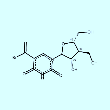 C=C(Br)c1cn(C2O[C@H](CO)[C@@H](CO)[C@@H]2O)c(=O)[nH]c1=O